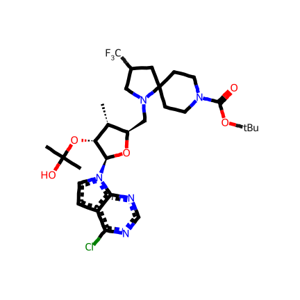 C[C@H]1[C@@H](OC(C)(C)O)[C@H](n2ccc3c(Cl)ncnc32)O[C@@H]1CN1CC(C(F)(F)F)CC12CCN(C(=O)OC(C)(C)C)CC2